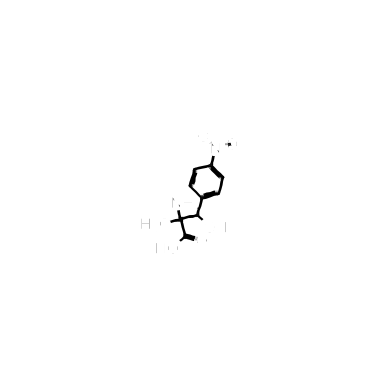 CC(N)(C(=O)O)C(O)c1ccc([N+](=O)[O-])cc1